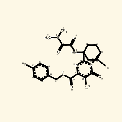 CN(C)C(=O)C(=O)NC12CCC(CC1)C(I)n1c2nc(C(=O)NCc2ccc(F)cc2)c(O)c1=O